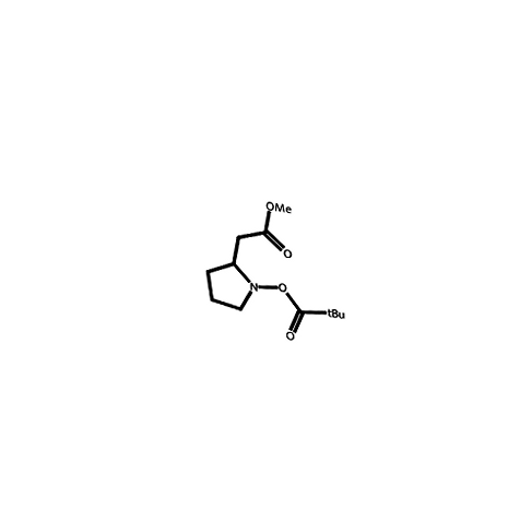 COC(=O)CC1CCCN1OC(=O)C(C)(C)C